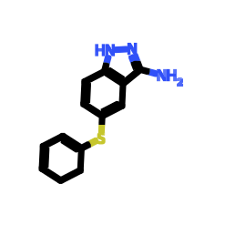 Nc1n[nH]c2ccc(SC3=CC=CCC3)cc12